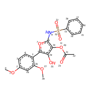 COc1ccc(-c2oc(NS(=O)(=O)c3ccccc3)c(OC(C)=O)c2O)c(OC)c1